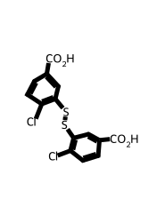 O=C(O)c1ccc(Cl)c(SSc2cc(C(=O)O)ccc2Cl)c1